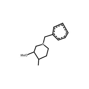 COC1CN(Cc2ccccc2)CCC1C